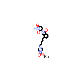 CC(C)(C)OC(=O)N1CCN(CCCCCc2cccc3c2CN(C2CCC(=O)NC2=O)C3=O)CC1